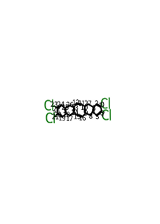 Clc1cc2c(cc1Cl)CC1=C(/C=C\C3=C(/C=C\1)Cc1cc(Cl)c(Cl)cc1C3)C2